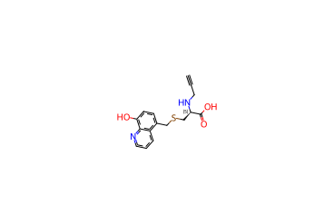 C#CCN[C@H](CSCc1ccc(O)c2ncccc12)C(=O)O